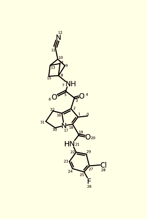 Cc1c(C(=O)C(=O)NC23CC(C#N)C(C2)C3)c2n(c1C(=O)Nc1ccc(F)c(Cl)c1)CCC2